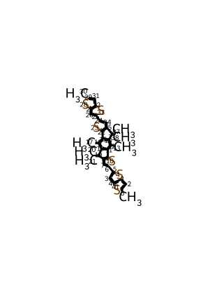 Cc1cc2sc(-c3cc4c(s3)-c3c(C)c5c(c(C)c3C4(C)C)-c3sc(-c4cc6sc(C)cc6s4)cc3C5(C)C)cc2s1